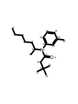 CCCCCC(C)N(C(=O)CC(C)(C)C)c1cccc(C)c1